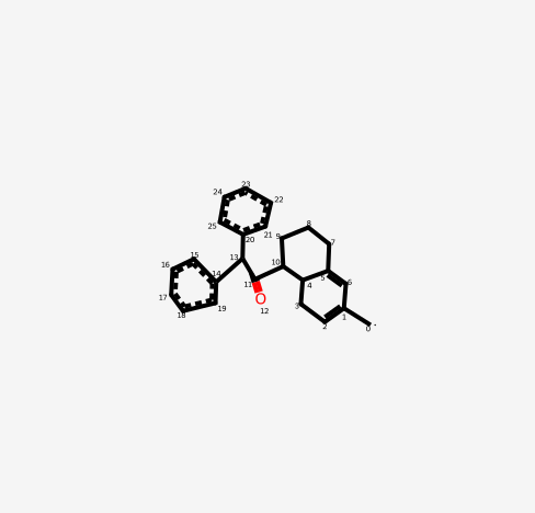 [CH2]C1=CCC2C(=C1)CCCC2C(=O)C(c1ccccc1)c1ccccc1